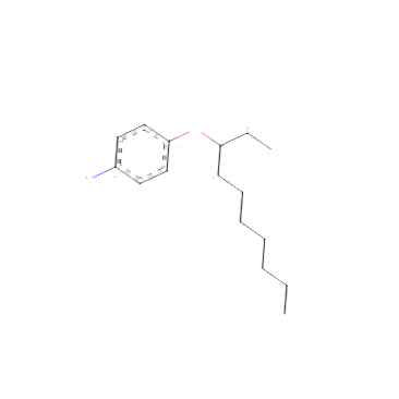 CCCCCCCC(CC)Oc1ccc(N)cc1